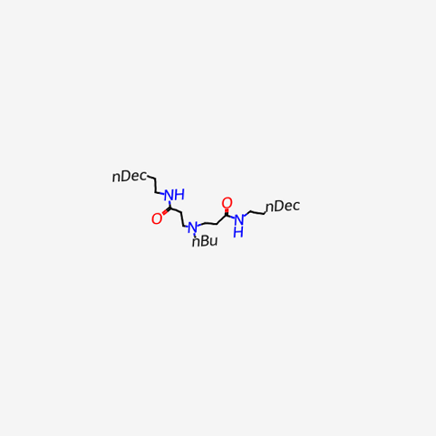 CCCCCCCCCCCCNC(=O)CCN(CCCC)CCC(=O)NCCCCCCCCCCCC